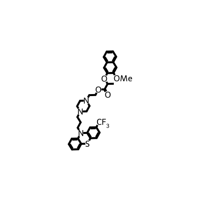 COc1cc2ccccc2cc1OC(C)C(=O)OCCN1CCN(CCCN2c3ccccc3Sc3ccc(C(F)(F)F)cc32)CC1